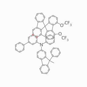 CC1(c2ccccc2)c2ccccc2-c2ccc(N(c3cccc(-c4ccccc4)c3)c3ccccc3-c3cccc4c3C3(c5ccccc5-4)c4cccc(OC(F)(F)F)c4-c4c(OC(F)(F)F)cccc43)cc21